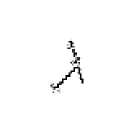 C=CC(=O)OCCCNC(=O)OC(CCCCCC)CCCCCCCCCCC(=O)O